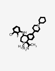 C/C(N)=C1\c2ccc(C3=CCN(C4CCCCC4)CC3)cc2C(Nc2cccc(Cl)c2F)CCN1N